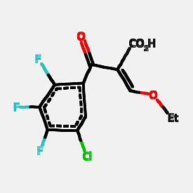 CCOC=C(C(=O)O)C(=O)c1cc(Cl)c(F)c(F)c1F